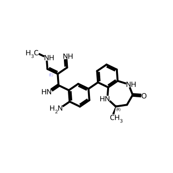 CN/C=C(\C=N)C(=N)c1cc(-c2cccc3c2N[C@H](C)CC(=O)N3)ccc1N